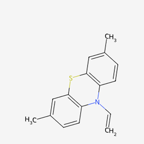 C=CN1c2ccc(C)cc2Sc2cc(C)ccc21